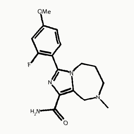 COc1ccc(-c2nc(C(N)=O)c3n2CCCN(C)C3)c(F)c1